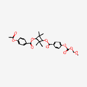 COCOC(=O)Oc1ccc(C(=O)OC2C(C)(C)C(OC(=O)c3ccc(OC(C)=O)cc3)C2(C)C)cc1